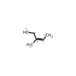 CC=C(C)[CH]O